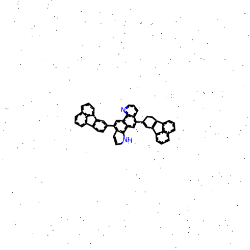 C1=Cc2c(-c3ccc4c(c3)-c3cccc5cccc-4c35)cc3c(cc(C4=CC5=C(CC4)c4cccc6cccc5c46)c4cccnc43)c2NC1